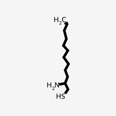 C=CCCCCCCCCC(N)CS